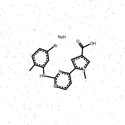 Cc1ccc(Br)cc1Nc1nccc(-c2cc(C(=O)O)cn2C)n1.[NaH]